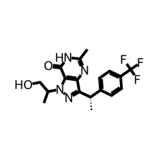 Cc1nc2c([C@@H](C)c3ccc(C(F)(F)F)cc3)nn(C(C)CO)c2c(=O)[nH]1